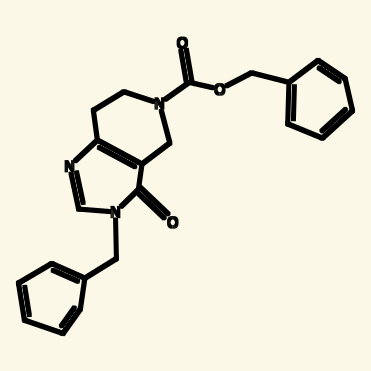 O=C(OCc1ccccc1)N1CCc2ncn(Cc3ccccc3)c(=O)c2C1